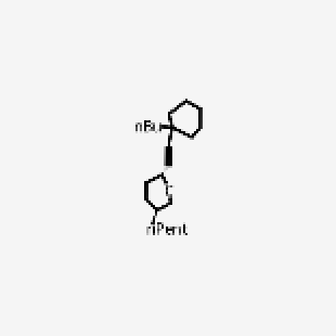 CCCCC[C@H]1CC[C@H](C#CC2(CCCC)CCCCC2)CC1